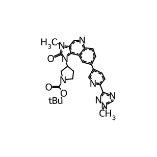 Cn1cnc(-c2ccc(-c3ccc4ncc5c(c4c3)n(C3CCN(C(=O)OC(C)(C)C)C3)c(=O)n5C)cn2)n1